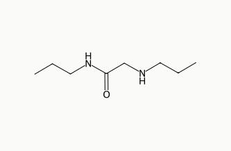 CCCNCC(=O)NCCC